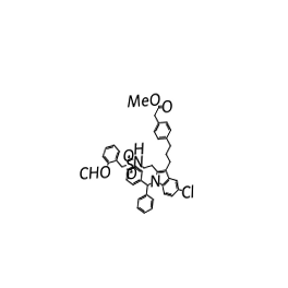 COC(=O)Cc1ccc(CCCc2c(CCNS(=O)(=O)Cc3ccccc3C=O)n(C(c3ccccc3)c3ccccc3)c3ccc(Cl)cc23)cc1